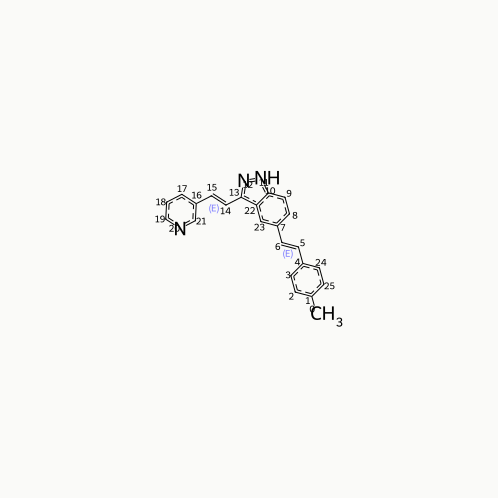 Cc1ccc(/C=C/c2ccc3[nH]nc(/C=C/c4cccnc4)c3c2)cc1